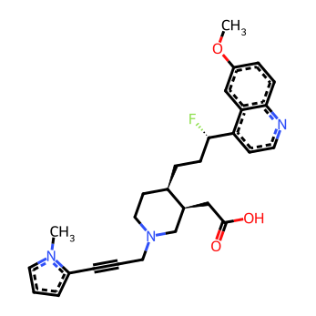 COc1ccc2nccc([C@@H](F)CC[C@@H]3CCN(CC#Cc4cccn4C)C[C@@H]3CC(=O)O)c2c1